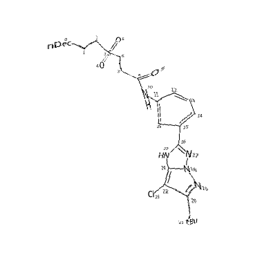 CCCCCCCCCCCCS(=O)(=O)CCC(=O)Nc1cccc(-c2nn3nc(C(C)(C)C)c(Cl)c3[nH]2)c1